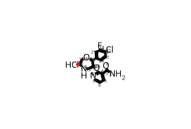 Cl.NC(=O)c1cccnc1O[C@@H]1CNCCO[C@H]1c1ccc(Cl)c(F)c1